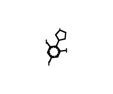 Ic1cc(I)c(C2C[CH]CC2)c(I)c1